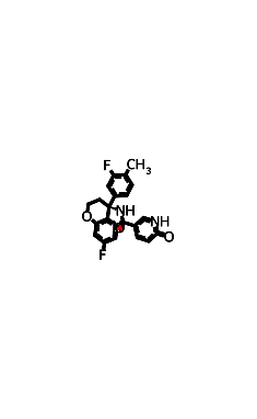 Cc1ccc([C@@]2(NC(=O)c3ccc(=O)[nH]c3)CCOc3cc(F)cnc32)cc1F